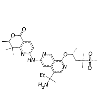 CCC(C)(N)c1cnc(O[C@H](C)CC(C)(C)S(C)(=O)=O)c2cnc(Nc3ccc4c(n3)C(C)(C)[C@@H](C)OC4=O)cc12